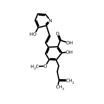 C=C(C)CCc1c(OC)cc(/C=C/c2ncccc2O)c(C(=O)O)c1O